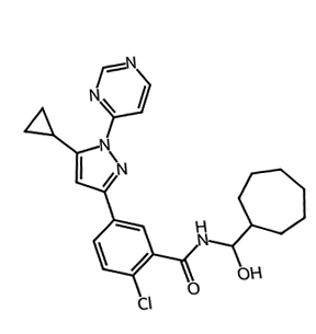 O=C(NC(O)C1CCCCCC1)c1cc(-c2cc(C3CC3)n(-c3ccncn3)n2)ccc1Cl